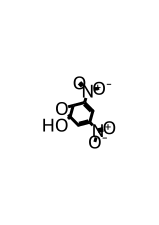 O=[N+]([O-])C1=CC2(O)OC2C([N+](=O)[O-])=C1